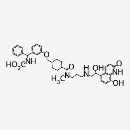 CN(CCCNC[C@@H](O)c1ccc(O)c2[nH]c(=O)ccc12)C(=O)C1CCC(COc2cccc(C(NC(=O)O)c3ccccc3)c2)CC1